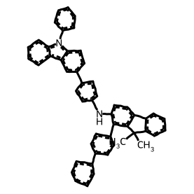 CC1(C)c2ccccc2-c2ccc(Nc3ccc(-c4ccc5c(c4)c4ccccc4n5-c4ccccc4)cc3)c(-c3ccc(-c4ccccc4)cc3)c21